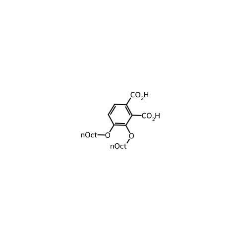 CCCCCCCCOc1ccc(C(=O)O)c(C(=O)O)c1OCCCCCCCC